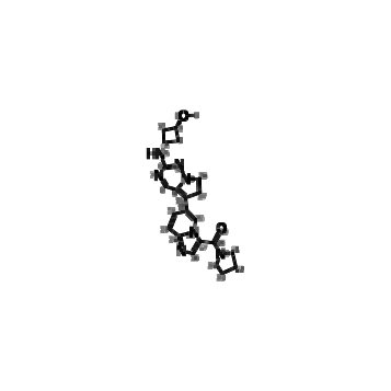 CO[C@H]1C[C@H](Nc2ncc3c(-c4ccc5ncc(C(=O)N6CCCC6)n5c4)ccn3n2)C1